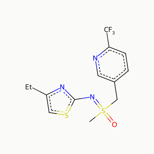 CCc1csc(N=S(C)(=O)Cc2ccc(C(F)(F)F)nc2)n1